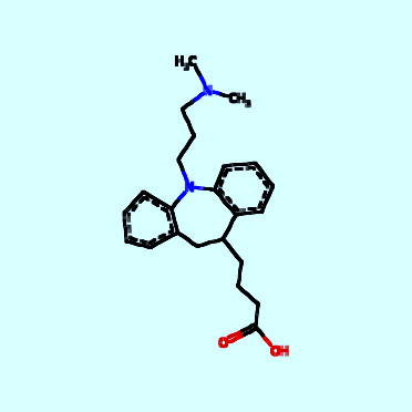 CN(C)CCCN1c2ccccc2CC(CCCC(=O)O)c2ccccc21